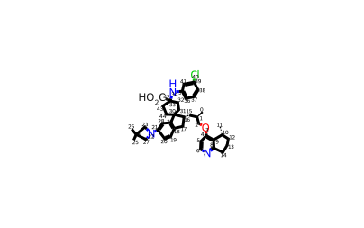 C[C@@H](COc1ccnc2c1[C@H](C)CCC2)C[C@@H]1Cc2ccc(N3CC(C)(C)C3)cc2C12CCC(Nc1cccc(Cl)c1)(C(=O)O)CC2